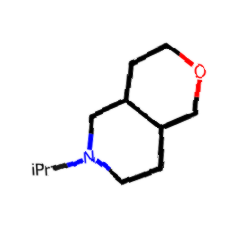 CC(C)N1CCC2COCCC2C1